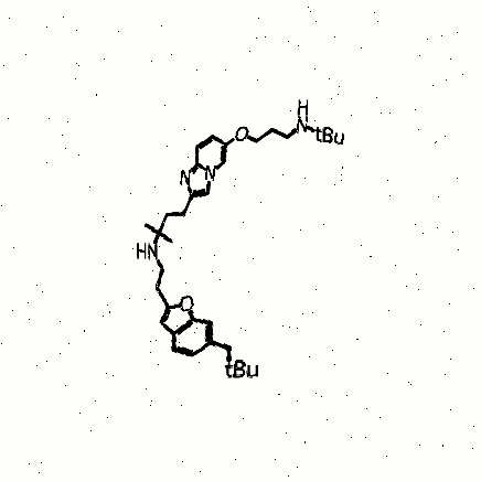 CC(C)(C)Cc1ccc2cc(CCNC(C)(C)CCc3cn4cc(OCCCNC(C)(C)C)ccc4n3)oc2c1